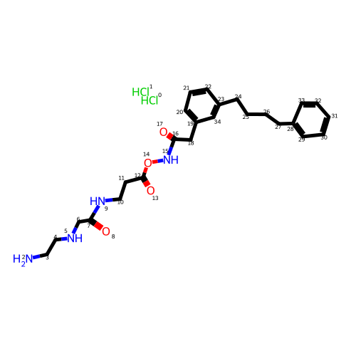 Cl.Cl.NCCNCC(=O)NCCC(=O)ONC(=O)Cc1cccc(CCCCc2ccccc2)c1